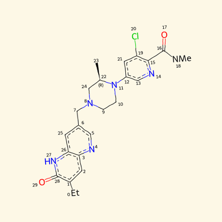 CCc1cc2ncc(CN3CCN(c4cnc(C(=O)NC)c(Cl)c4)[C@H](C)C3)cc2[nH]c1=O